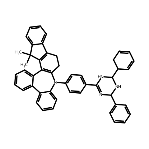 CC1(C)C2=C(CCC3=C2c2ccccc2-c2ccccc2N3c2ccc(C3=NC(c4ccccc4)NC(C4C=CC=CC4)N3)cc2)c2ccccc21